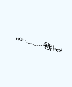 CCCCCC(CC)OC(=O)CCCCCCCCCCCCCCCCCO